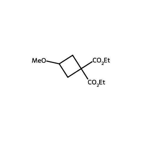 CCOC(=O)C1(C(=O)OCC)CC(OC)C1